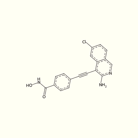 Nc1ncc2ccc(Cl)cc2c1C#Cc1ccc(C(=O)NO)cc1